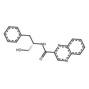 O=C(N[C@H](CO)Cc1ccccc1)c1cnc2ccccc2n1